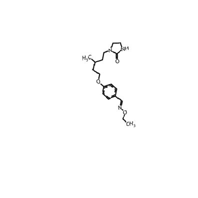 CCON=Cc1ccc(OCCC(C)CCN2CCNC2=O)cc1